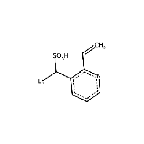 C=Cc1ncccc1C(CC)S(=O)(=O)O